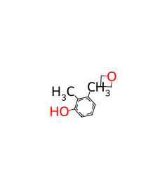 C1COC1.Cc1cccc(O)c1C